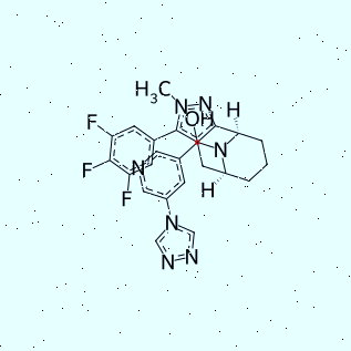 Cn1nc2c(c1-c1cc(F)c(F)c(F)c1)C[C@@H]1CCC[C@H]2N1C(O)c1cncc(-n2cnnc2)c1